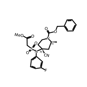 COC(=O)CS(=O)(=O)N(c1cccc(F)c1)[C@]1(C#N)CCN(C(=O)OCc2ccccc2)[C@@H](C)C1